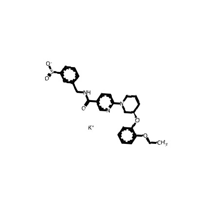 CCOc1ccccc1O[C@@H]1CCCN(c2ccc(C(=O)NCc3cccc(S(=O)[O-])c3)cn2)C1.[K+]